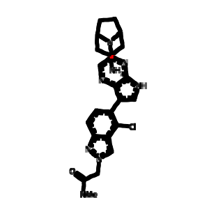 CNC(=O)Cn1cc2c(Cl)c(-c3c[nH]c4nc(N5C6CCC5CC(N)C6)cnc34)ccc2n1